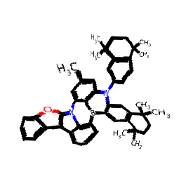 Cc1cc2c3c(c1)-n1c4oc5ccccc5c4c4cccc(c41)B3c1cc3c(cc1N2c1ccc2c(c1)C(C)(C)CCC2(C)C)C(C)(C)CCC3(C)C